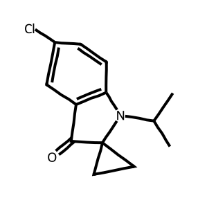 CC(C)N1c2ccc(Cl)cc2C(=O)C12CC2